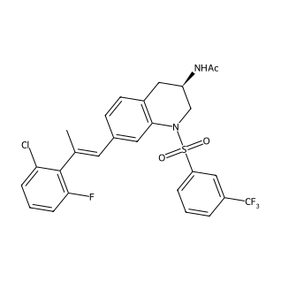 CC(=O)N[C@@H]1Cc2ccc(C=C(C)c3c(F)cccc3Cl)cc2N(S(=O)(=O)c2cccc(C(F)(F)F)c2)C1